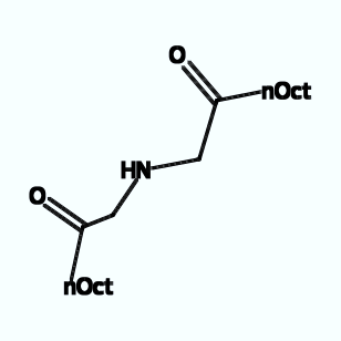 CCCCCCCCC(=O)CNCC(=O)CCCCCCCC